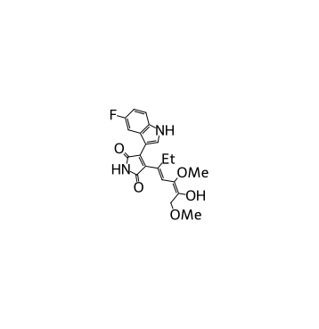 CC/C(=C\C(OC)=C(\O)COC)C1=C(c2c[nH]c3ccc(F)cc23)C(=O)NC1=O